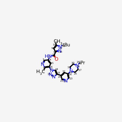 Cc1ncc(NC(=O)c2cc(C)n(C(C)(C)C)n2)cc1-n1cc(-c2cncc(N3CCN(C(C)C)CC3)c2)nn1